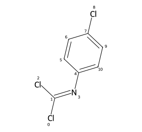 ClC(Cl)=Nc1ccc(Cl)cc1